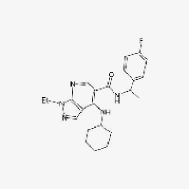 CCn1ncc2c(NC3CCCCC3)c(C(=O)NC(C)c3ccc(F)cc3)cnc21